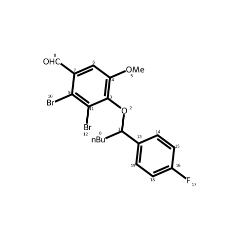 CCCCC(Oc1c(OC)cc(C=O)c(Br)c1Br)c1ccc(F)cc1